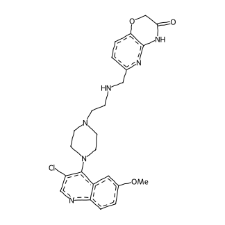 COc1ccc2ncc(Cl)c(N3CCN(CCNCc4ccc5c(n4)NC(=O)CO5)CC3)c2c1